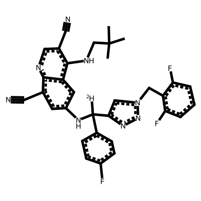 [2H]C(Nc1cc(C#N)c2ncc(C#N)c(NCC(C)(C)C)c2c1)(c1ccc(F)cc1)c1cn(Cc2c(F)cccc2F)nn1